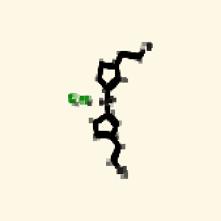 CCC=CC1=CC[C]([Hf+2][C]2=CC(C=CCC)=CC2)=C1.[Cl-].[Cl-]